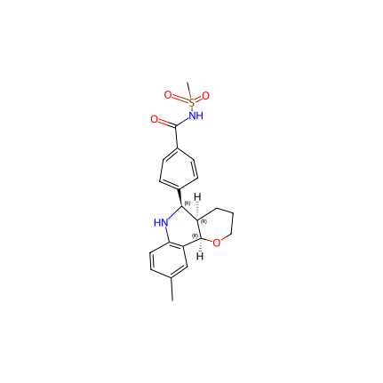 Cc1ccc2c(c1)[C@@H]1OCCC[C@@H]1[C@H](c1ccc(C(=O)NS(C)(=O)=O)cc1)N2